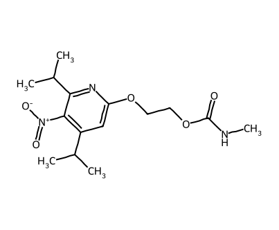 CNC(=O)OCCOc1cc(C(C)C)c([N+](=O)[O-])c(C(C)C)n1